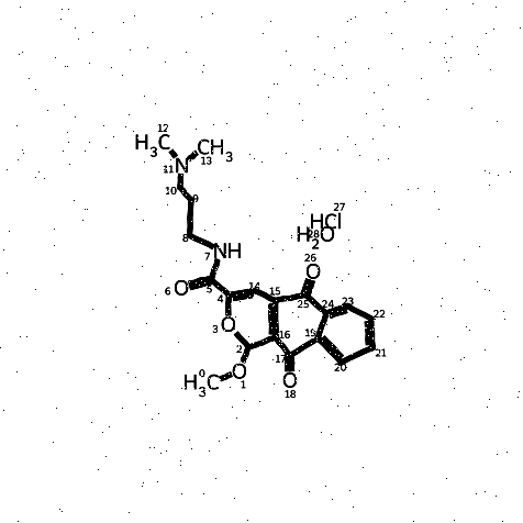 COC1OC(C(=O)NCCCN(C)C)=CC2=C1C(=O)c1ccccc1C2=O.Cl.O